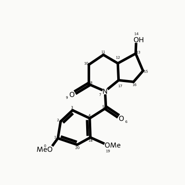 COc1ccc(C(=O)N2C(=O)CCC3C(O)CCC32)c(OC)c1